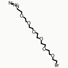 [N-]=[N+]=NCCOCCOCCOCCOCCOCCOCCBr